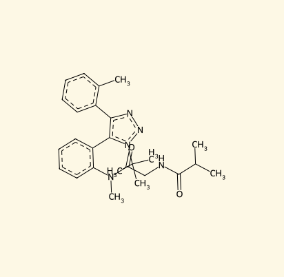 Cc1ccccc1-c1nnn(C(C)(C)C)c1-c1ccccc1N(C)C(=O)CNC(=O)C(C)C